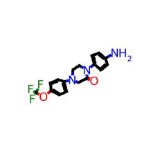 Nc1ccc(N2CCN(c3ccc(OC(F)(F)F)cc3)CC2=O)cc1